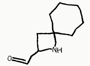 O=CC1CC2(CCCCC2)N1